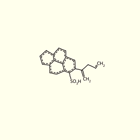 C=CCC(=C)c1cc2ccc3cccc4ccc(c1S(=O)(=O)O)c2c34